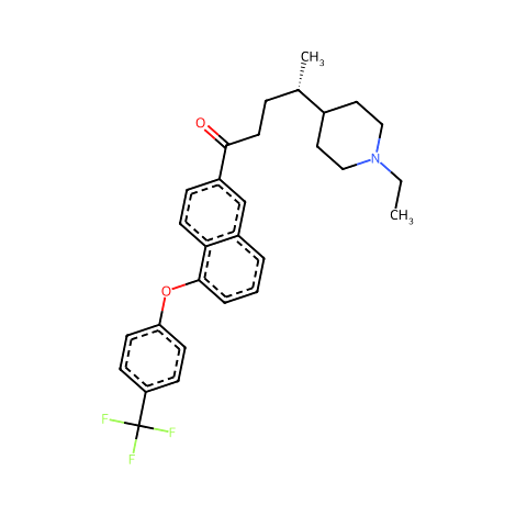 CCN1CCC([C@@H](C)CCC(=O)c2ccc3c(Oc4ccc(C(F)(F)F)cc4)cccc3c2)CC1